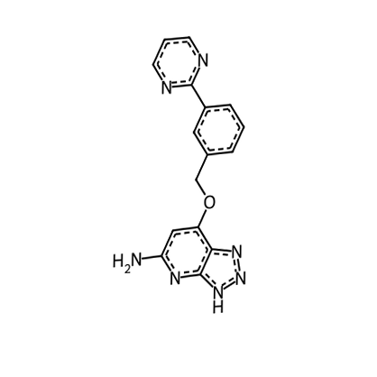 Nc1cc(OCc2cccc(-c3ncccn3)c2)c2nn[nH]c2n1